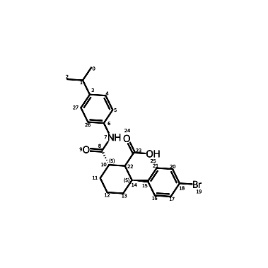 CC(C)c1ccc(NC(=O)[C@H]2CCC[C@H](c3ccc(Br)cc3)C2C(=O)O)cc1